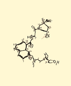 CN(CCNC(=O)O)c1ccc2nccc(C(=O)NCC(=O)N3CC(F)(F)C[C@H]3C#N)c2c1